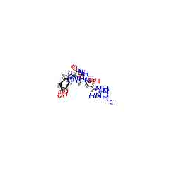 N=C(N)NCCCC(CC(=O)NC(Cc1ccc(O)cc1)C(N)=O)NO